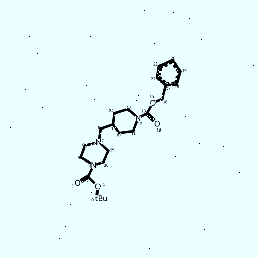 CC(C)(C)OC(=O)N1CCN(CC2CCN(C(=O)OCc3ccccc3)CC2)CC1